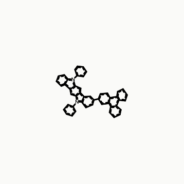 c1ccc(-n2c3ccccc3c3cc4c(cc32)c2cc(-c3ccc5c6ccccc6c6ccccc6c5c3)ccc2n4-c2ccccc2)cc1